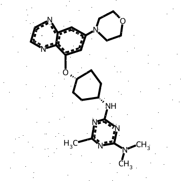 Cc1nc(N[C@H]2CC[C@@H](Oc3cc(N4CCOCC4)cc4nccnc34)CC2)nc(N(C)C)n1